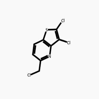 ClCc1ccc2sc(Cl)c(Cl)c2n1